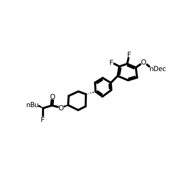 CCCCCCCCCCOc1ccc(-c2ccc([C@H]3CC[C@H](OC(=O)[C@@H](F)CCCC)CC3)cc2)c(F)c1F